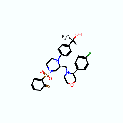 C[C@@](O)(c1ccc(N2CCN(S(=O)(=O)C3=CC=CCC3=S)C[C@@H]2CN2CCOC[C@@H]2c2ccc(F)cc2)cc1)C(F)(F)F